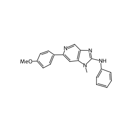 COc1ccc(-c2cc3c(cn2)nc(Nc2ccccc2)n3C)cc1